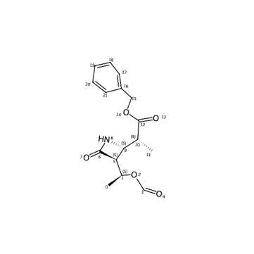 C[C@H](OC=O)[C@H]1C(=O)N[C@@H]1[C@@H](C)C(=O)OCc1ccccc1